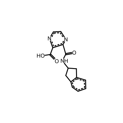 O=C(O)c1nccnc1C(=O)NC1Cc2ccccc2C1